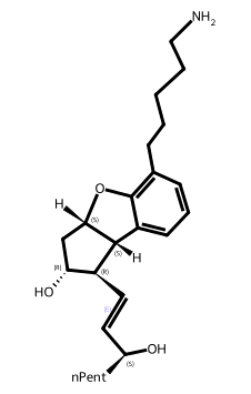 CCCCC[C@H](O)/C=C/[C@@H]1[C@H]2c3cccc(CCCCCN)c3O[C@H]2C[C@H]1O